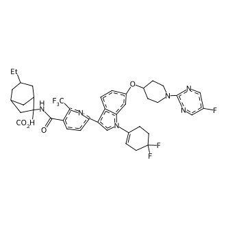 CCC1CC2CC(C1)C(NC(=O)c1ccc(-c3cn(C4=CCC(F)(F)CC4)c4cc(OC5CCN(c6ncc(F)cn6)CC5)ccc34)nc1C(F)(F)F)(C(=O)O)C2